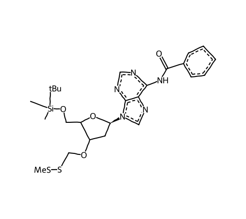 CSSCOC1C[C@H](n2cnc3c(NC(=O)c4ccccc4)ncnc32)OC1CO[Si](C)(C)C(C)(C)C